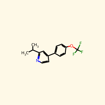 CC(C)c1cc(-c2ccc(OC(F)(F)F)cc2)ccn1